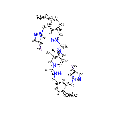 COc1ccc(CNC(C)N2CC3(C)CN(C(C)NCc4ccc(OC)c(Cn5cc(I)cn5)c4)CC(C)(C2)C3)cc1Cn1cc(I)cn1